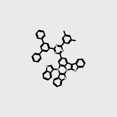 Cc1cc(C)cc(-c2nc(-c3cc(-c4ccccc4)cc(-c4ccccc4)c3)nc(-c3cc4c5c(c3)N(c3csc6ccccc36)c3c(oc6ccccc36)B5c3oc5ccccc5c3-4)n2)c1